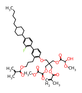 C=C(C)C(=O)OCCCc1cc(-c2ccc(C3CCC(CCCCC)CC3)cc2F)ccc1OCC(COC(=O)C(=C)C)(COC(=O)C(=O)OC)COC(=O)C(O)OC